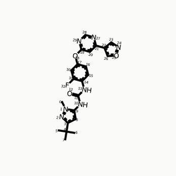 Cn1nc(C(C)(C)C)cc1NC(=O)Nc1ccc(Oc2cc(-c3cnoc3)ncn2)cc1F